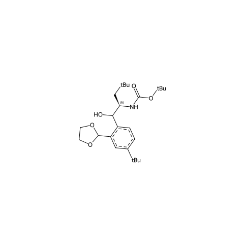 CC(C)(C)C[C@@H](NC(=O)OC(C)(C)C)C(O)c1ccc(C(C)(C)C)cc1C1OCCO1